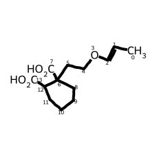 CC=COCCC1(C(=O)O)CCCCC1C(=O)O